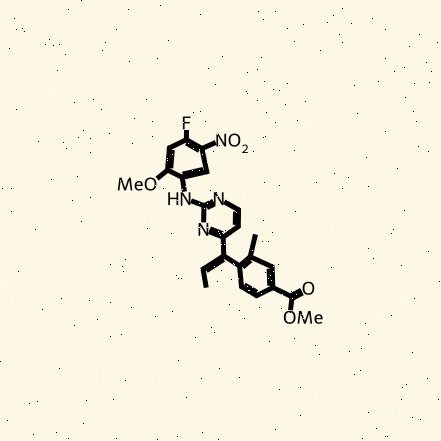 C/C=C(/c1ccnc(Nc2cc([N+](=O)[O-])c(F)cc2OC)n1)c1ccc(C(=O)OC)cc1C